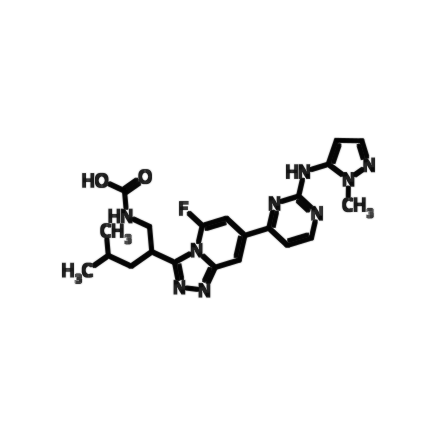 CC(C)CC(CNC(=O)O)c1nnc2cc(-c3ccnc(Nc4ccnn4C)n3)cc(F)n12